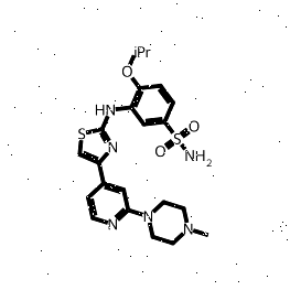 CC(C)Oc1ccc(S(N)(=O)=O)cc1Nc1nc(-c2ccnc(N3CCN(C)CC3)c2)cs1